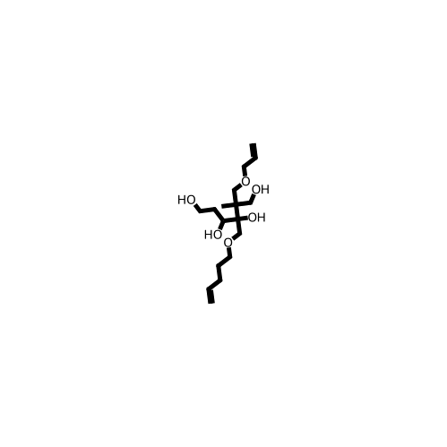 C=CCCCOCC(O)(C(O)CCO)C(C)(CO)COCC=C